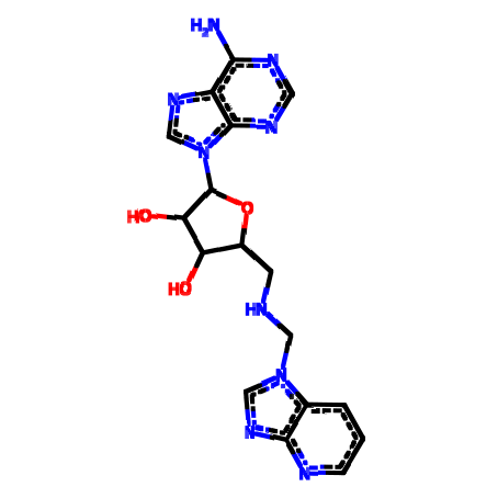 Nc1ncnc2c1ncn2C1OC(CNCn2cnc3ncccc32)C(O)C1O